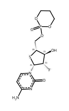 Nc1ccn([C@@H]2S[C@H](COP3(=O)OCCCO3)[C@@H](O)[C@@H]2F)c(=O)n1